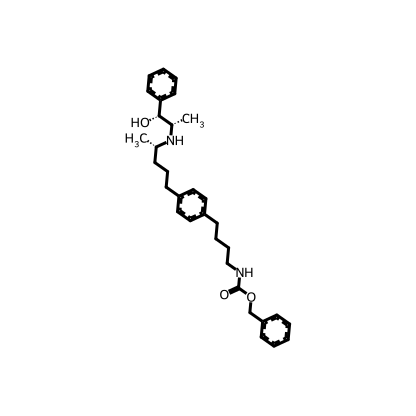 C[C@H](N[C@@H](C)CCCc1ccc(CCCCNC(=O)OCc2ccccc2)cc1)[C@H](O)c1ccccc1